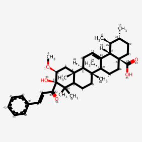 CO[C@H]1C[C@@]2(C)C(CC[C@]3(C)[C@@H]2CC=C2[C@@H]4[C@@H](C)[C@H](C)CC[C@]4(C(=O)O)CC[C@]23C)C(C)(C)[C@]1(O)C(=O)C=Cc1ccccc1